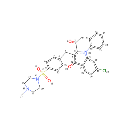 CC(=O)c1c(Cc2ccc(S(=O)(=O)N3CCN(C)CC3)cc2)c(=O)c2ccc(Cl)cc2n1-c1ccccc1